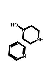 ON1CCNCC1.c1ccncc1